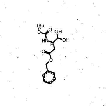 CC(C)(C)OC(=O)N[C@H](CC(=O)OCc1ccccc1)C(O)O